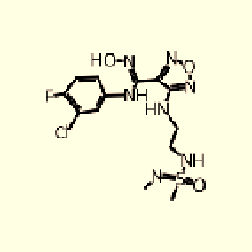 CN=S(C)(=O)NCCNc1nonc1/C(=N/O)Nc1ccc(F)c(Cl)c1